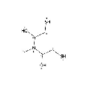 CN(C(O)CS)C(O)CS